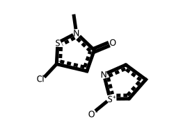 Cn1sc(Cl)cc1=O.[O-][s+]1cccn1